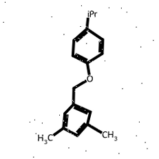 Cc1cc(C)cc(COc2ccc(C(C)C)cc2)c1